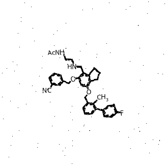 CC(=O)NCCNCc1c(OCc2cccc(C#N)c2)cc(OCc2cccc(-c3ccc(F)cc3)c2C)c2c1CCC2